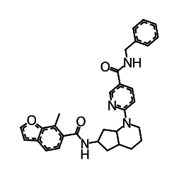 Cc1c(C(=O)NC2CC3CCCN(c4ccc(C(=O)NCc5ccccc5)cn4)C3C2)ccc2ccoc12